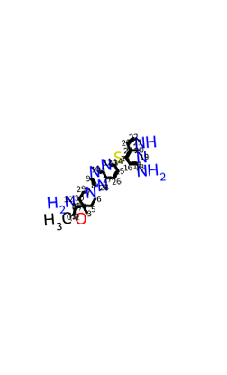 C[C@@H]1OCC2(CCN(c3cnc4nc(Sc5cc(N)nc6[nH]ccc56)ccc4n3)CC2)[C@@H]1N